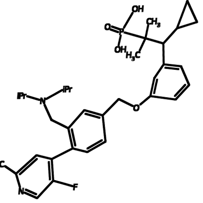 Cc1cc(-c2ccc(COc3cccc(C(C4CC4)C(C)(C)P(=O)(O)O)c3)cc2CN(C(C)C)C(C)C)c(F)cn1